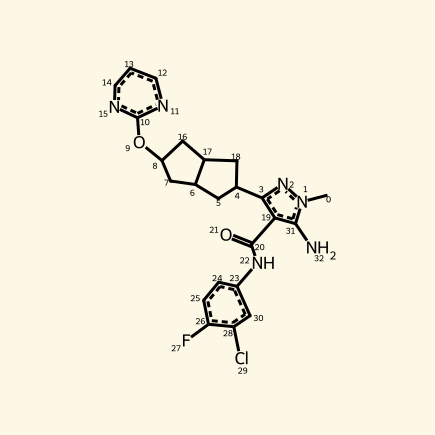 Cn1nc(C2CC3CC(Oc4ncccn4)CC3C2)c(C(=O)Nc2ccc(F)c(Cl)c2)c1N